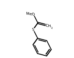 C=C(OC)Sc1ccccc1